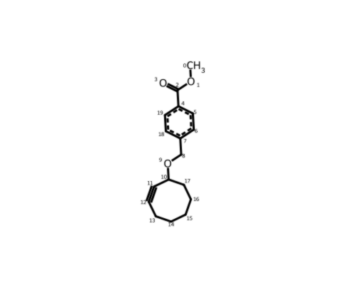 COC(=O)c1ccc(COC2C#CCCCCC2)cc1